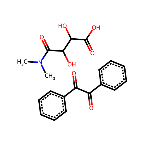 CN(C)C(=O)C(O)C(O)C(=O)O.O=C(C(=O)c1ccccc1)c1ccccc1